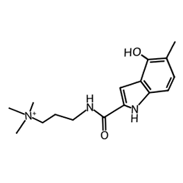 Cc1ccc2[nH]c(C(=O)NCCC[N+](C)(C)C)cc2c1O